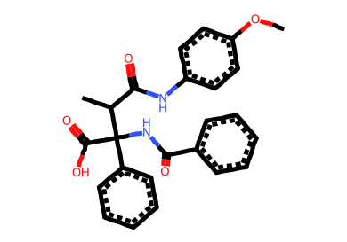 COc1ccc(NC(=O)C(C)C(NC(=O)c2ccccc2)(C(=O)O)c2ccccc2)cc1